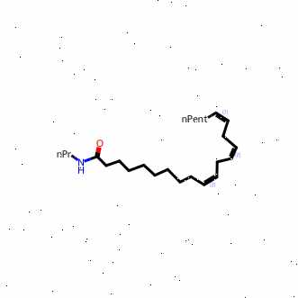 CCCCC/C=C\C/C=C\C/C=C\CCCCCCCCC(=O)NCCC